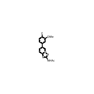 COc1cc(-c2ccc3nc(NC(C)=O)nn3c2)ccc1F